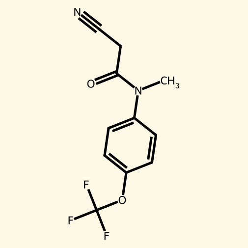 CN(C(=O)CC#N)c1ccc(OC(F)(F)F)cc1